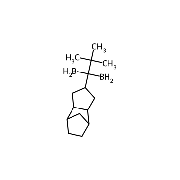 BC(B)(C1CC2C3CCC(C3)C2C1)C(C)(C)C